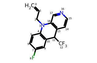 C=CCN1c2ccc(F)cc2C(C(F)(F)F)c2ccncc21